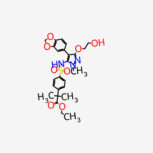 CCOC(=O)C(C)(C)c1ccc(S(=O)(=O)Nc2c(-c3ccc4c(c3)OCO4)c(OCCO)nn2C)cc1